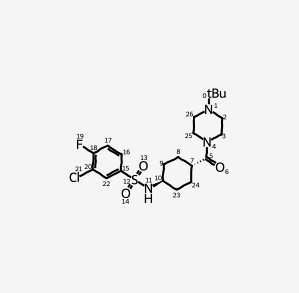 CC(C)(C)N1CCN(C(=O)[C@H]2CC[C@H](NS(=O)(=O)c3ccc(F)c(Cl)c3)CC2)CC1